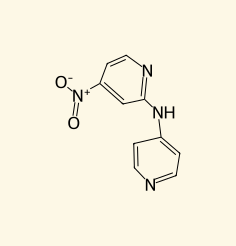 O=[N+]([O-])c1ccnc(Nc2ccncc2)c1